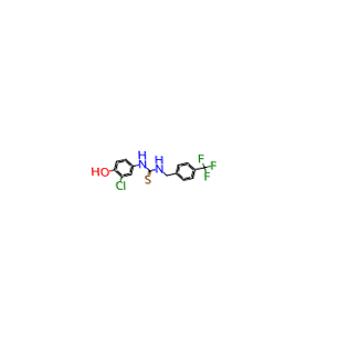 Oc1ccc(NC(=S)NCc2ccc(C(F)(F)F)cc2)cc1Cl